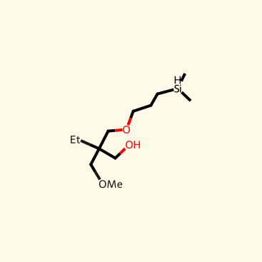 CCC(CO)(COC)COCCC[SiH](C)C